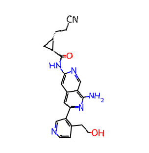 N#CCC[C@H]1C[C@@H]1C(=O)Nc1cc2cc(-c3cnccc3CCO)nc(N)c2cn1